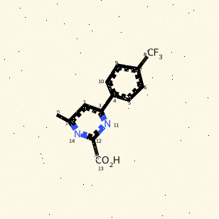 Cc1cc(-c2ccc(C(F)(F)F)cc2)nc(C(=O)O)n1